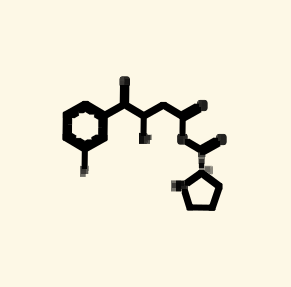 O=C(CC(Br)C(=O)c1cccc(F)c1)OC(=O)[C@@H]1CCCN1